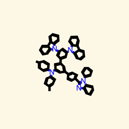 Cc1ccc(N(c2ccc(C)cc2)c2cc(-c3ccc(-c4nc5ccccc5n4-c4ccccc4)cc3)cc(-c3cc(-n4c5ccccc5c5ccccc54)cc(-n4c5ccccc5c5ccccc54)c3)c2)cc1